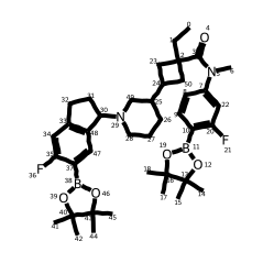 CCC1(C(=O)N(C)c2ccc(B3OC(C)(C)C(C)(C)O3)c(F)c2)CC(C2CCCN(C3CCc4cc(F)c(B5OC(C)(C)C(C)(C)O5)cc43)C2)C1